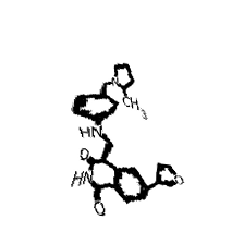 CC1CCCN1Cc1ccc(N/C=C2\C(=O)NC(=O)c3ccc(-c4ccoc4)cc32)cc1